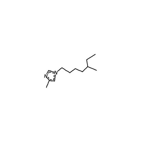 CCC(C)CCCCn1cnc(C)c1